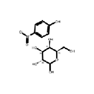 O=[N+]([O-])c1ccc(O)cc1.OC[C@H]1OC(O)[C@H](O)[C@@H](O)[C@H]1O